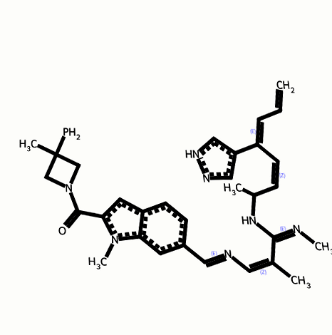 C=C/C=C(\C=C/C(C)NC(=N/C)/C(C)=C\N=C\c1ccc2cc(C(=O)N3CC(C)(P)C3)n(C)c2c1)c1cn[nH]c1